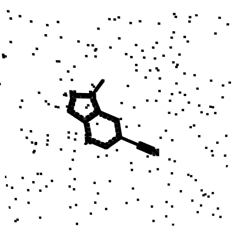 Cn1ncc2ncc(C#N)cc21